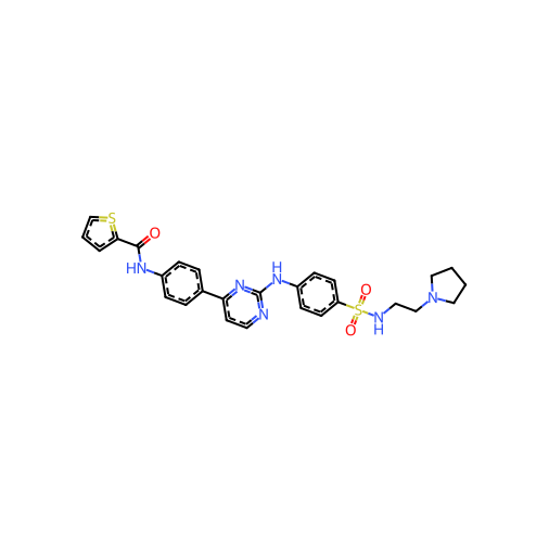 O=C(Nc1ccc(-c2ccnc(Nc3ccc(S(=O)(=O)NCCN4CCCC4)cc3)n2)cc1)c1cccs1